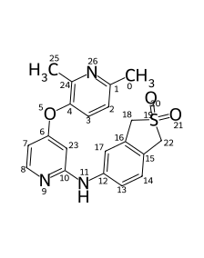 Cc1ccc(Oc2ccnc(Nc3ccc4c(c3)CS(=O)(=O)C4)c2)c(C)n1